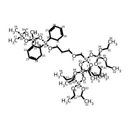 CCO[Si](COCCCO[Si](O[Si](C)(C)O[Si](C)(C)C)(C1C=CC=CC1)C1C=CC=CC1)(O[Si](OCC)(OCC)OCC)O[Si](OCC)(OCC)O[Si](OCC)(OCC)OCC